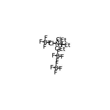 CCC(CC)(CC)[N+](Cl)(Cl)Cl.F[B-](F)(F)F.F[B-](F)(F)F.F[B-](F)(F)F